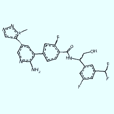 Cn1nncc1-c1cnc(N)c(-c2ccc(C(=O)NC(CO)c3cc(F)cc(C(F)F)c3)c(F)c2)c1